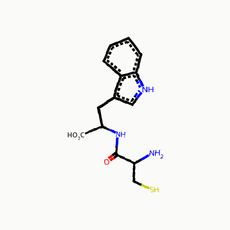 NC(CS)C(=O)NC(Cc1c[nH]c2ccccc12)C(=O)O